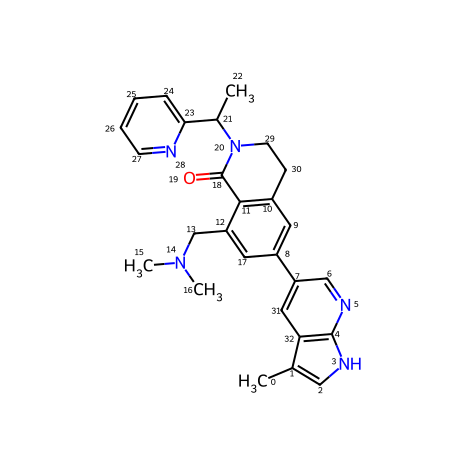 Cc1c[nH]c2ncc(-c3cc4c(c(CN(C)C)c3)C(=O)N(C(C)c3ccccn3)CC4)cc12